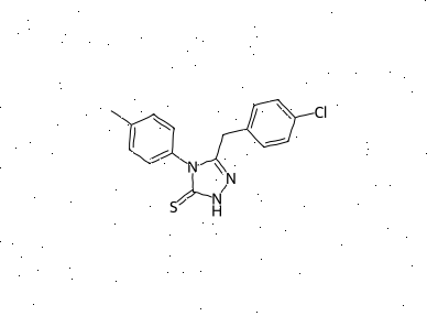 Cc1ccc(-n2c(Cc3ccc(Cl)cc3)n[nH]c2=S)cc1